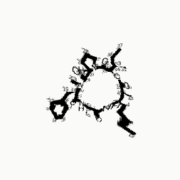 CCCCC[C@H]1NC(=O)[C@H](C)NC(=O)[C@@H](Cc2ccccc2)N(C)C(=O)[C@@H]2CCCN2C(=O)[C@H]([C@@H](C)CC)OC(=O)[C@H]1C